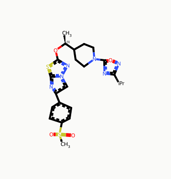 CC(C)c1noc(N2CCC([C@H](C)Oc3nn4cc(-c5ccc(S(C)(=O)=O)cc5)nc4s3)CC2)n1